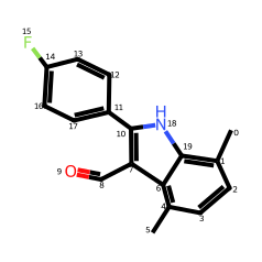 Cc1ccc(C)c2c(C=O)c(-c3ccc(F)cc3)[nH]c12